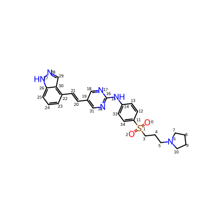 O=S(=O)(CCCN1CCCC1)c1ccc(Nc2ncc(C=Cc3cccc4[nH]ncc34)cn2)cc1